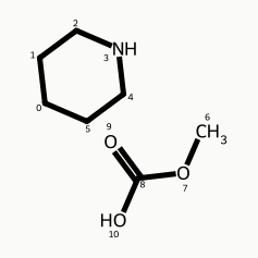 C1CCNCC1.COC(=O)O